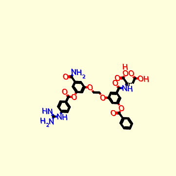 N=C(N)Nc1ccc(C(=O)Oc2cc(OCCOc3cc(OC(=O)c4ccccc4)cc(C(=O)N[C@@H](CC(=O)O)C(=O)O)c3)cc(C(N)=O)c2)cc1